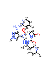 CCC(NC(=O)N1C(=O)[C@H](Cc2ccnc(N)c2)[C@H]1C(=O)N(C)c1cnn(C)c1)c1ccc(C)nc1